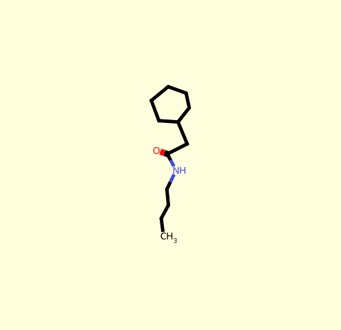 CCCCNC(=O)CC1CCCCC1